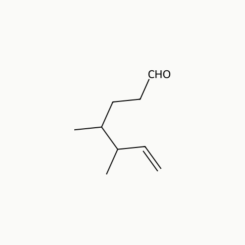 C=CC(C)C(C)CCC=O